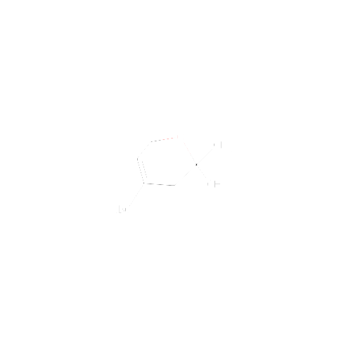 CC1(C)CC(C(C)(C)C)=CCO1